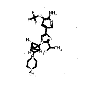 CC(C)c1nc(-c2cnc(N)c(OC(F)(F)F)c2)cn1C12C3C(N4CCN(C)CC4)C[C@@H]1[C@H]32